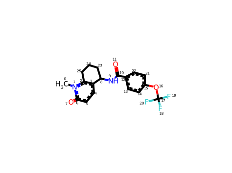 Cn1c2c(ccc1=O)C(NC(=O)c1ccc(OC(F)(F)F)cc1)CCC2